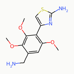 COc1cc(CN)c(OC)c(OC)c1-c1csc(N)n1